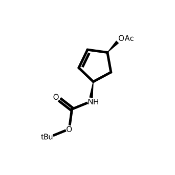 CC(=O)O[C@@H]1C=C[C@H](NC(=O)OC(C)(C)C)C1